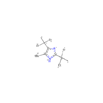 CCC(C)(CC)c1nc(C(C)(CC)CC)c(C(C)(C)C)[nH]1